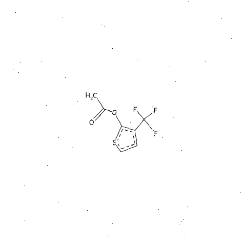 CC(=O)Oc1sccc1C(F)(F)F